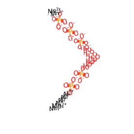 O.O.O.O.O=P([O-])([O-])[O-].O=P([O-])([O-])[O-].O=P([O-])([O-])[O-].O=P([O-])([O-])[O-].O=P([O-])([O-])[O-].[Al+3].[Al+3].[Al+3].[Al+3].[Mn+2].[Mn+2].[Mn+2].[Mn+2].[OH-].[OH-].[OH-].[OH-].[OH-]